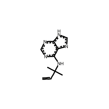 C=CC(C)(C)Nc1ncnc2[nH]cnc12